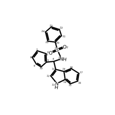 O=S(=O)(NC(c1ccccc1)c1c[nH]c2ccccc12)c1ccccc1